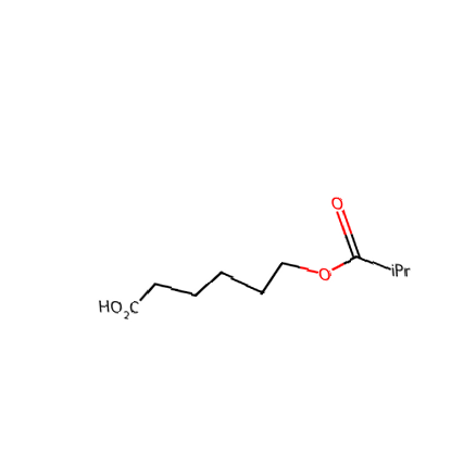 CC(C)C(=O)OCCCCCC(=O)O